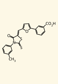 Cc1cccc(N2C(=O)C(=Cc3ccc(-c4cccc(C(=O)O)c4)o3)SC2=S)c1